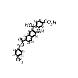 O=C(O)c1ccc(C(O)c2cc3cc(C(=O)OCc4ccc(C(F)(F)F)cc4)ccc3cc2O)cc1